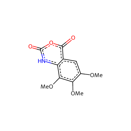 COc1cc2c(=O)oc(=O)[nH]c2c(OC)c1OC